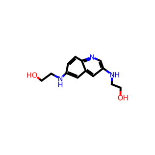 OCCNc1ccc2ncc(NCCO)cc2c1